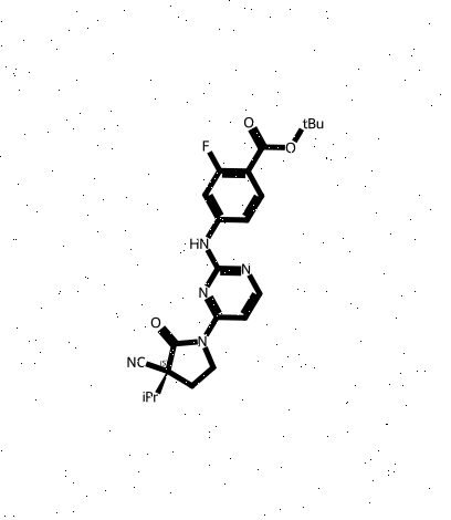 CC(C)[C@]1(C#N)CCN(c2ccnc(Nc3ccc(C(=O)OC(C)(C)C)c(F)c3)n2)C1=O